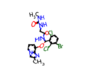 CNC(=O)NCC(=O)NC(Oc1cccn2cc(C)nc12)c1c(Cl)ccc(Br)c1Cl